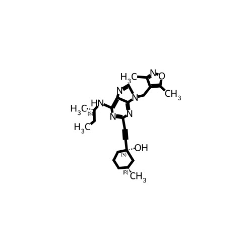 CC[C@H](C)Nc1nc(C#C[C@]2(O)CCC[C@@H](C)C2)nc2c1ncn2Cc1c(C)noc1C